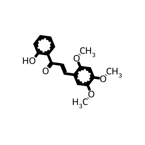 COc1cc(OC)c(OC)cc1/C=C/C(=O)c1ccccc1O